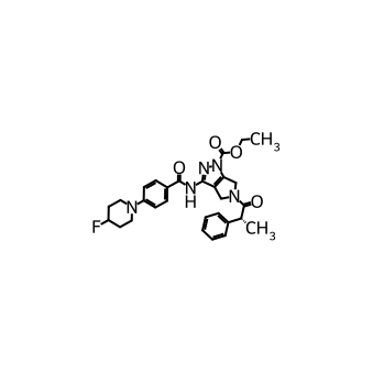 CCOC(=O)n1nc(NC(=O)c2ccc(N3CCC(F)CC3)cc2)c2c1CN(C(=O)[C@H](C)c1ccccc1)C2